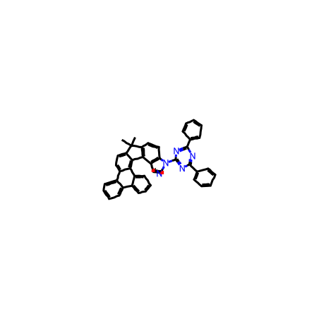 CC1(C)c2ccc3c4ccccc4c4ccccc4c3c2-c2c1ccc1c2c2cccnc2n1-c1nc(-c2ccccc2)nc(-c2ccccc2)n1